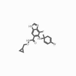 CC1(Nc2c(C(=O)NOCC3CC3)cc3[nH]cnc3c2F)C=CC(Br)=CC1